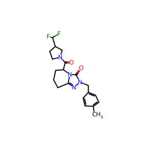 Cc1ccc(Cn2nc3n(c2=O)C(C(=O)N2CCC(C(F)F)C2)CCC3)cc1